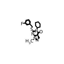 Cn1ncc2c(=O)n(C3CCCCC3)c(SCc3cccc(F)c3)nc21